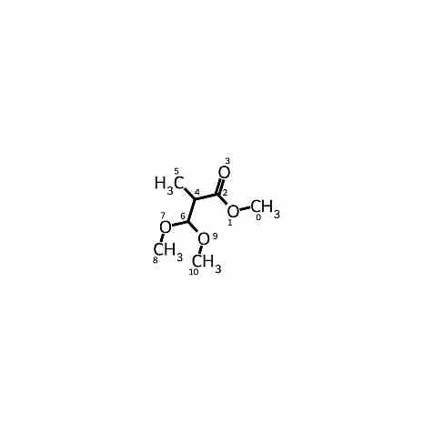 COC(=O)C(C)C(OC)OC